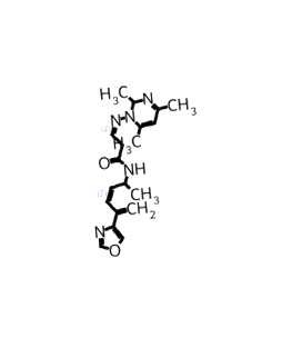 C=C(/C=C\C(C)NC(=O)C/C=N\N1C(C)=CC(C)=NC1C)c1cocn1